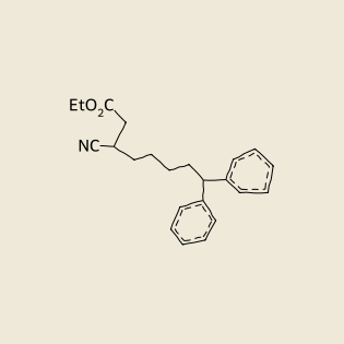 CCOC(=O)CC(C#N)CCCCC(c1ccccc1)c1ccccc1